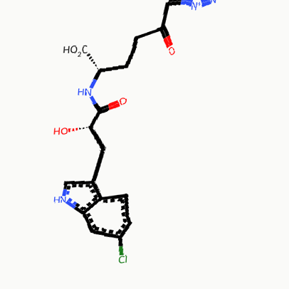 [N-]=[N+]=CC(=O)CC[C@H](NC(=O)[C@@H](O)Cc1c[nH]c2cc(Cl)ccc12)C(=O)O